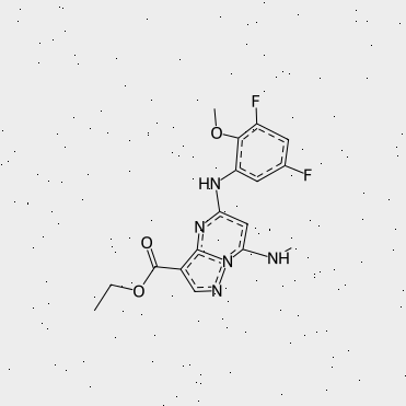 CCOC(=O)c1cnn2c(NC)cc(Nc3cc(F)cc(F)c3OC)nc12